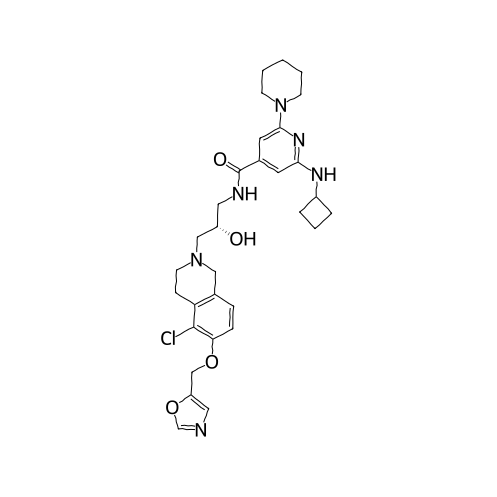 O=C(NC[C@H](O)CN1CCc2c(ccc(OCc3cnco3)c2Cl)C1)c1cc(NC2CCC2)nc(N2CCCCC2)c1